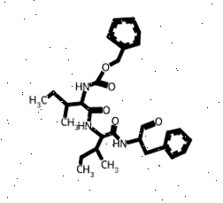 CCC(C)C(NC(=O)OCc1ccccc1)C(=O)NC(C(=O)NC(C=O)Cc1ccccc1)C(C)CC